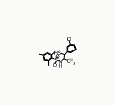 Cc1cc(C)c(S(=O)(=O)NC(C(S)c2cccc(Cl)c2)C(F)(F)F)c(C)c1